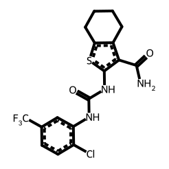 NC(=O)c1c(NC(=O)Nc2cc(C(F)(F)F)ccc2Cl)sc2c1CCCC2